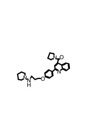 O=C(c1cc(-c2ccc(OCCCNN3CCCCC3)cc2)nc2ccccc12)N1CCCC1